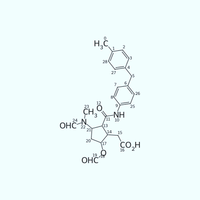 Cc1ccc(Cc2ccc(NC(=O)C3C(CC(=O)O)C(OC=O)CC3N(C)C=O)cc2)cc1